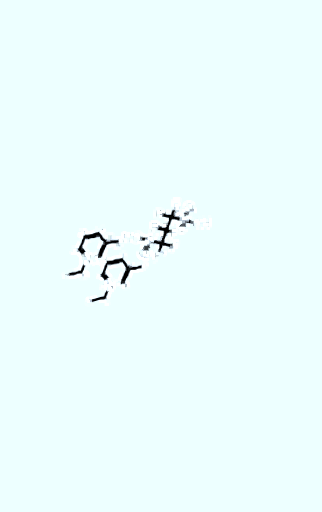 CC[n+]1cccc(C)c1.CC[n+]1cccc(C)c1.O=S(=O)(O)C(F)(F)C(F)(F)C(F)(F)S(=O)(=O)O